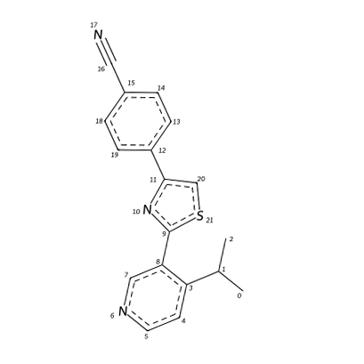 CC(C)c1ccncc1-c1nc(-c2ccc(C#N)cc2)cs1